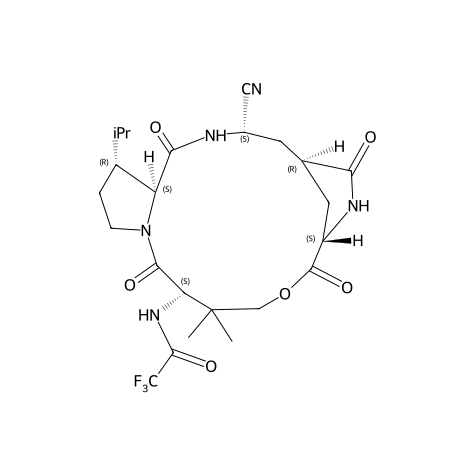 CC(C)[C@H]1CCN2C(=O)[C@@H](NC(=O)C(F)(F)F)C(C)(C)COC(=O)[C@@H]3C[C@@H](C[C@@H](C#N)NC(=O)[C@H]12)C(=O)N3